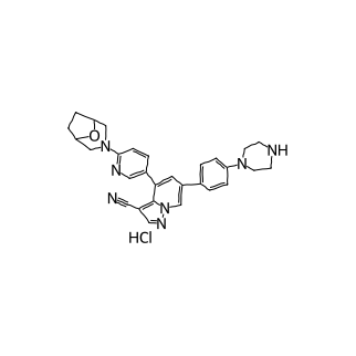 Cl.N#Cc1cnn2cc(-c3ccc(N4CCNCC4)cc3)cc(-c3ccc(N4CC5CCC(C4)O5)nc3)c12